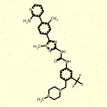 Cc1cc(-c2nc(NC(=O)Nc3ccc(CN4CCN(C)CC4)c(C(F)(F)F)c3)nn2C)ccc1-c1cccnc1N